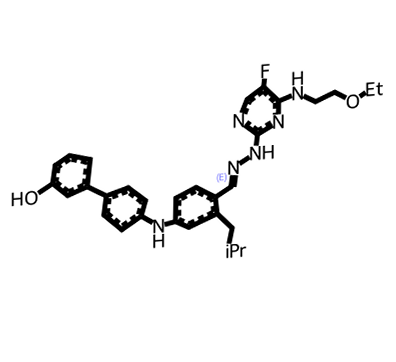 CCOCCNc1nc(N/N=C/c2ccc(Nc3ccc(-c4cccc(O)c4)cc3)cc2CC(C)C)ncc1F